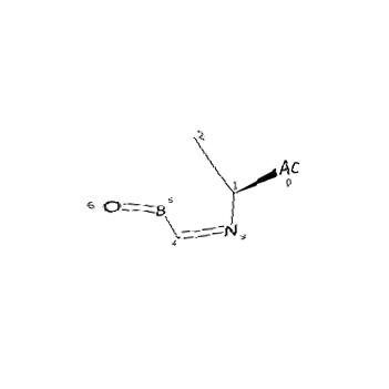 CC(=O)[C@H](C)/N=C\B=O